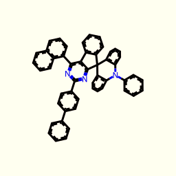 c1ccc(-c2ccc(-c3nc(-c4cccc5ccccc45)c4c(n3)C3(c5ccccc5-4)c4ccccc4N(c4ccccc4)c4ccccc43)cc2)cc1